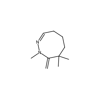 C=C1N(C)/N=C\CCCC1(C)C